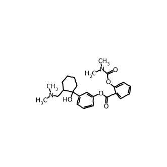 CN(C)CC1CCCCC1(O)c1cccc(OC(=O)c2ccccc2OC(=O)N(C)C)c1